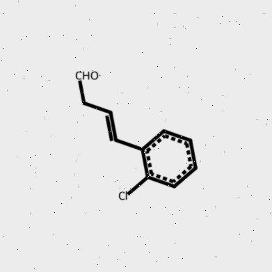 O=[C]CC=Cc1ccccc1Cl